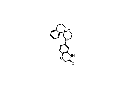 O=C1COc2ccc(N3CCOC4(CCCc5ccccc54)C3)cc2N1